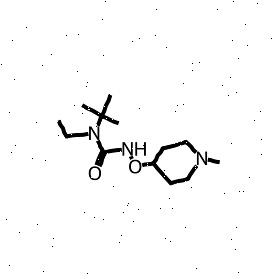 CCN(C(=O)NOC1CCN(C)CC1)C(C)(C)C